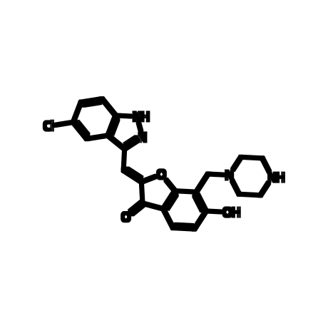 O=C1C(=Cc2n[nH]c3ccc(Cl)cc23)Oc2c1ccc(O)c2CN1CCNCC1